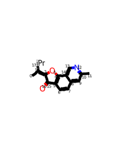 CC(=C1Oc2c(ccc3cc(C)ncc23)C1=O)C(C)C